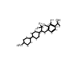 CCCC1CCC(C2CCC(C3Cc4ccc(C(C)O)c(F)c4OC3(F)F)CC2)CC1